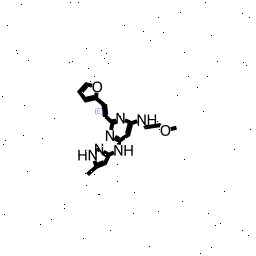 COCCNc1cc(Nc2cc(C)[nH]n2)nc(/C=C/c2ccco2)n1